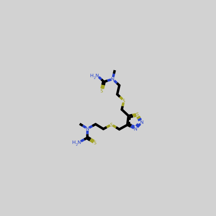 CN(CCSCc1nnsc1CSCCN(C)C(N)=S)C(N)=S